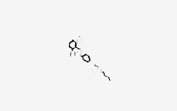 CCCCNCCOc1ccc(NC(=O)c2c(OC)cccc2OC)cc1